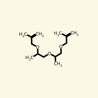 C=C(C)COCC(C)OCC(C)OCC(=C)C